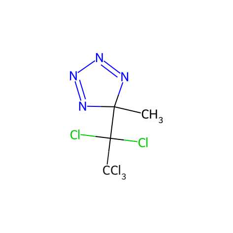 CC1(C(Cl)(Cl)C(Cl)(Cl)Cl)N=NN=N1